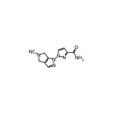 N#CN1Cc2cnn(-n3ccc(C(N)=O)n3)c2C1